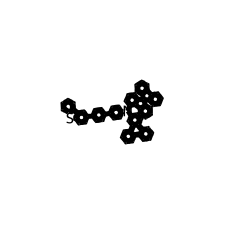 c1ccc2c(c1)-c1ccccc1C21c2ccccc2-c2c(N(c3ccc(-c4ccc(-c5ccc6sc7ccccc7c6c5)cc4)cc3)c3ccc4c5ccccc5c5ccccc5c4c3)cccc21